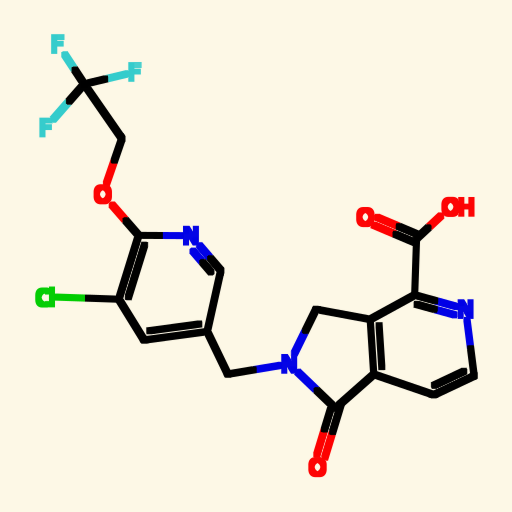 O=C(O)c1nccc2c1CN(Cc1cnc(OCC(F)(F)F)c(Cl)c1)C2=O